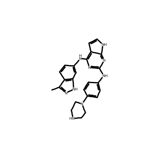 Cc1n[nH]c2cc(Nc3nc(Nc4ccc(N5CCNCC5)cc4)nc4[nH]ccc34)ccc12